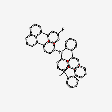 CC1(C)c2ccccc2-c2ccc(-c3ccccc3N(c3ccc(-c4cccc5cccc(-c6cccc(F)c6)c45)cc3)c3cccc(-c4ccccc4)c3)cc21